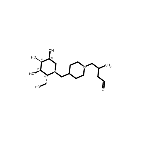 CC(CC=O)CN1CCC(CN2C[C@H](O)[C@@H](O)[C@H](O)[C@H]2CO)CC1